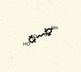 CC1(C)CC(O)CC(C)(C)N1OCCCCON1C(C)(C)CC(O)CC1(C)C